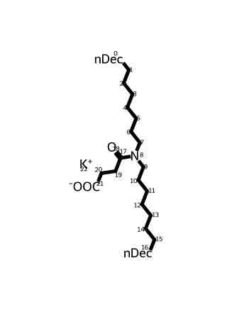 CCCCCCCCCCCCCCCCCN(CCCCCCCCCCCCCCCCC)C(=O)CCC(=O)[O-].[K+]